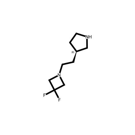 FC1(F)CN(CC[C@H]2CCNC2)C1